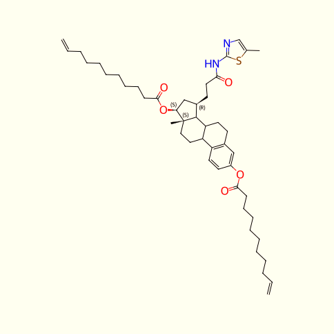 C=CCCCCCCCCC(=O)Oc1ccc2c(c1)CCC1C2CC[C@@]2(C)C1[C@H](CCC(=O)Nc1ncc(C)s1)C[C@@H]2OC(=O)CCCCCCCCC=C